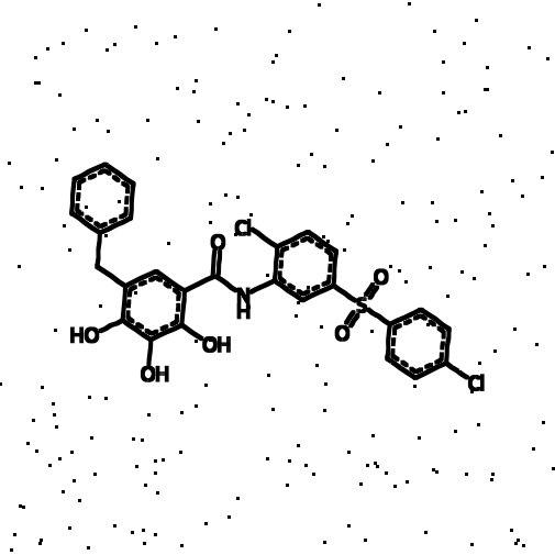 O=C(Nc1cc(S(=O)(=O)c2ccc(Cl)cc2)ccc1Cl)c1cc(Cc2ccccc2)c(O)c(O)c1O